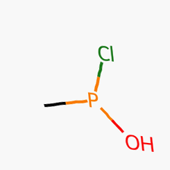 CP(O)Cl